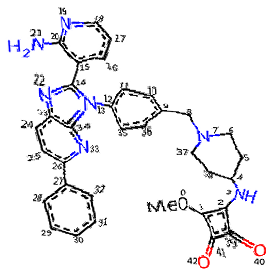 COc1c(NC2CCN(Cc3ccc(-n4c(-c5cccnc5N)nc5ccc(-c6ccccc6)nc54)cc3)CC2)c(=O)c1=O